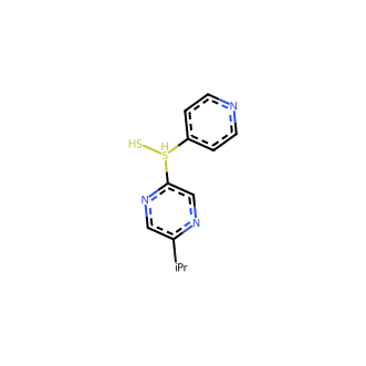 CC(C)c1cnc([SH](S)c2ccncc2)cn1